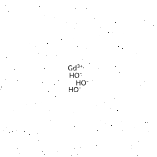 [Gd+3].[OH-].[OH-].[OH-]